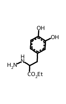 CCOC(=O)C(Cc1ccc(O)c(O)c1)NN